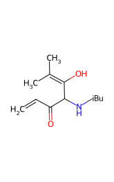 C=CC(=O)C(NC(C)CC)C(O)=C(C)C